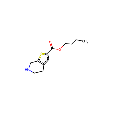 CCCCOC(=O)c1cc2c(s1)CNCC2